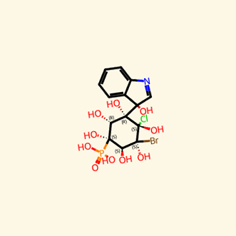 O=P(O)(O)[C@]1(O)[C@H](O)[C@](O)(Br)[C@@](O)(Cl)[C@](O)(C2(O)C=Nc3ccccc32)[C@H]1O